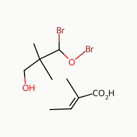 CC(C)(CO)C(Br)OBr.CC=C(C)C(=O)O